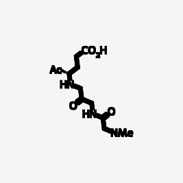 CNCC(=O)NCC(=O)CN[C@@H](CCC(=O)O)C(C)=O